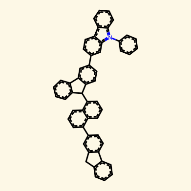 c1ccc(-n2c3ccccc3c3ccc(-c4ccc5c(c4)-c4ccccc4C5c4cccc5c(-c6ccc7c(c6)Cc6ccccc6-7)cccc45)cc32)cc1